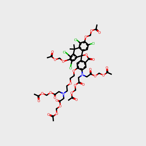 CC(=O)OCOC(=O)CN(CCOCCOc1cc2c(cc1N(CC(=O)OCOC(C)=O)CC(=O)OCOC(C)=O)C(=O)OC21c2cc(Cl)c(OCOC(C)=O)c(Cl)c2C(C)(C)c2c1cc(Cl)c(OCOC(C)=O)c2Cl)CC(=O)OCOC(C)=O